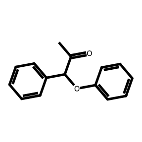 CC(=O)C(Oc1ccccc1)c1ccccc1